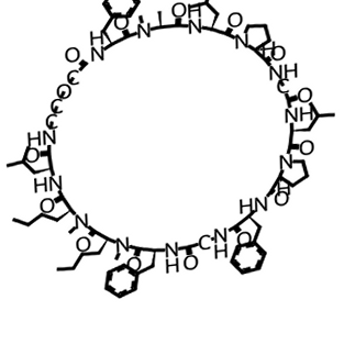 CCCC[C@H]1C(=O)N(C)[C@@H](CCCC)C(=O)N[C@@H](CC(C)C)C(=O)NCCOCC(=O)N[C@@H](Cc2ccccc2)C(=O)N(C)[C@@H](C)C(=O)N[C@@H](CC(C)C)C(=O)N2CCC[C@H]2C(=O)NCC(=O)N[C@@H](CC(C)C)C(=O)N2CCC[C@H]2C(=O)N[C@@H](Cc2ccccc2)C(=O)NCC(=O)N[C@@H](Cc2ccccc2)C(=O)N1C